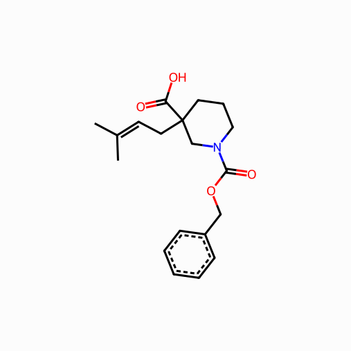 CC(C)=CCC1(C(=O)O)CCCN(C(=O)OCc2ccccc2)C1